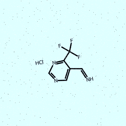 Cl.N=Cc1cncnc1C(F)(F)F